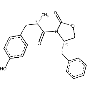 C[C@@H](Cc1ccc(O)cc1)C(=O)N1C(=O)OC[C@@H]1Cc1ccccc1